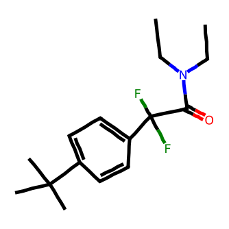 CCN(CC)C(=O)C(F)(F)c1ccc(C(C)(C)C)cc1